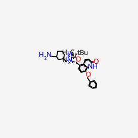 CC(C)(C)[Si](C)(C)O[C@@H](CNCC1CCCC(CN)C1)c1ccc(OCc2ccccc2)c2[nH]c(=O)ccc12